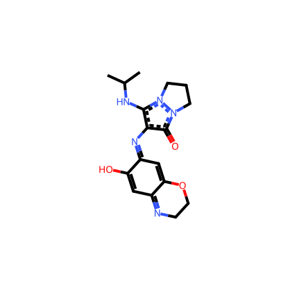 CC(C)Nc1c(N=C2C=C3OCCN=C3C=C2O)c(=O)n2n1CCC2